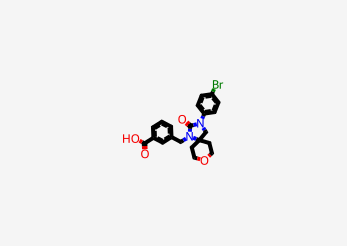 O=C(O)c1cccc(CN2C(=O)N(c3ccc(Br)cc3)CC23CCOCC3)c1